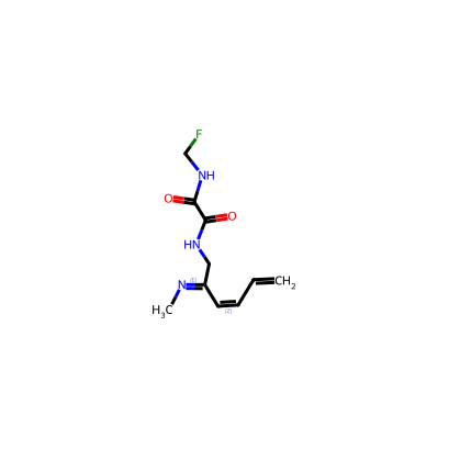 C=C/C=C\C(CNC(=O)C(=O)NCF)=N/C